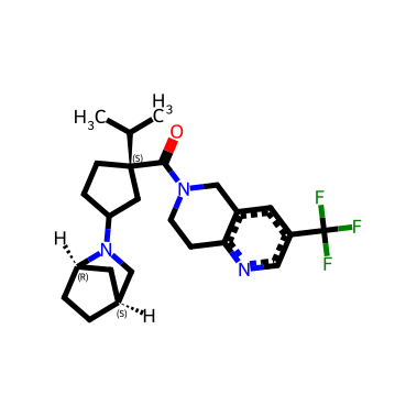 CC(C)[C@]1(C(=O)N2CCc3ncc(C(F)(F)F)cc3C2)CCC(N2C[C@H]3CC[C@@H]2C3)C1